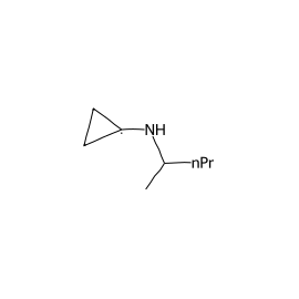 CCCC(C)N[C]1CC1